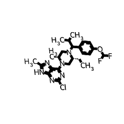 CC[C@@H]1CN(c2nc(Cl)nc3[nH]c(C)nc23)[C@@H](C)CN1C(c1ccc(OC(F)F)cc1)C(C)C